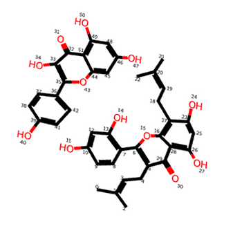 CC(C)=CCc1c(-c2ccc(O)cc2O)oc2c(CC=C(C)C)c(O)cc(O)c2c1=O.O=c1c(O)c(-c2ccc(O)cc2)oc2cc(O)cc(O)c12